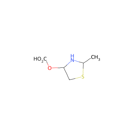 CC1NC(OC(=O)O)CS1